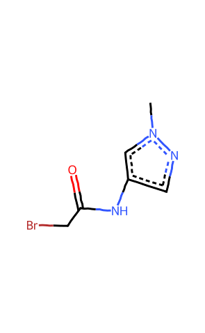 Cn1cc(NC(=O)CBr)cn1